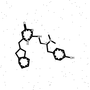 CN(C)[C@H](CNc1nc(=O)cc(CC2Cc3ccccc3C2)[nH]1)Cc1ccc(O)cc1